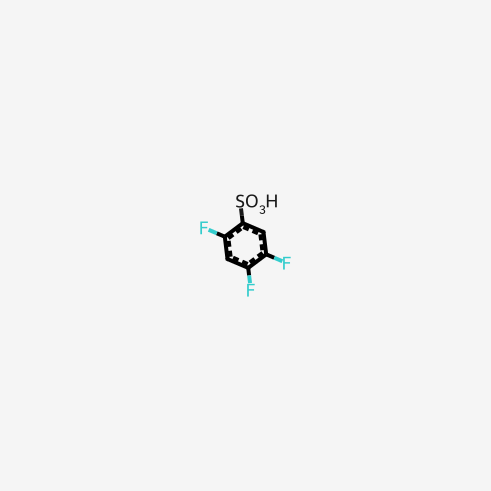 O=S(=O)(O)c1cc(F)c(F)cc1F